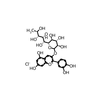 C[C@@H](O)[C@@H](O)[C@H](O)[C@@H](O)[C@H]1OC(Oc2cc3c(O)cc(O)cc3[o+]c2-c2ccc(O)c(O)c2)[C@H](O)[C@@H](O)[C@@H]1O.[Cl-]